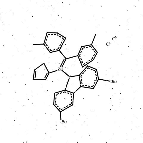 Cc1cccc([C](c2cccc(C)c2)=[Zr+2]([C]2=CC=CC2)[CH]2c3ccc(C(C)(C)C)cc3-c3cc(C(C)(C)C)ccc32)c1.[Cl-].[Cl-]